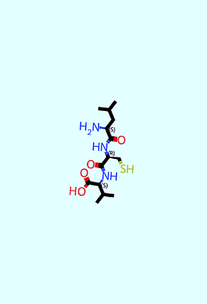 CC(C)C[C@H](N)C(=O)N[C@@H](CS)C(=O)N[C@H](C(=O)O)C(C)C